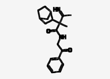 CC(=N)C(C)(C(=O)NCC(=O)c1ccccc1)C1CC2CCC1C2